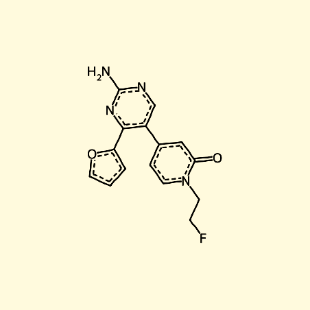 Nc1ncc(-c2ccn(CCF)c(=O)c2)c(-c2ccco2)n1